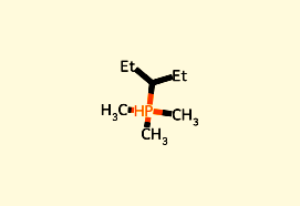 CCC(CC)[PH](C)(C)C